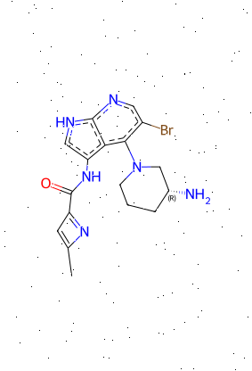 CC1=CC(C(=O)Nc2c[nH]c3ncc(Br)c(N4CCC[C@@H](N)C4)c23)=N1